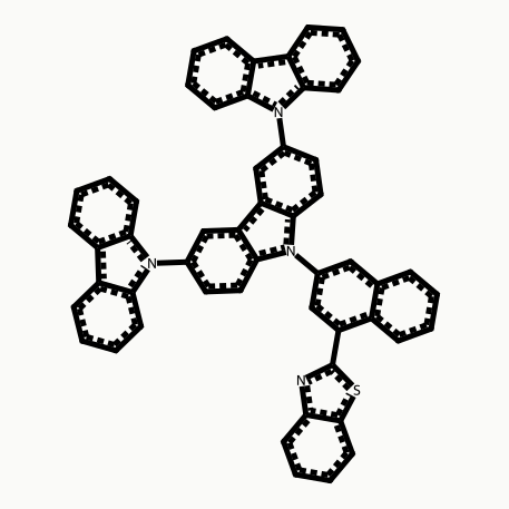 c1ccc2c(-c3nc4ccccc4s3)cc(-n3c4ccc(-n5c6ccccc6c6ccccc65)cc4c4cc(-n5c6ccccc6c6ccccc65)ccc43)cc2c1